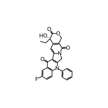 CC[C@@]1(O)C(=O)OCc2c1cc1n(c2=O)Cc2c-1c(=O)c1cc(F)ccc1n2-c1ccccc1